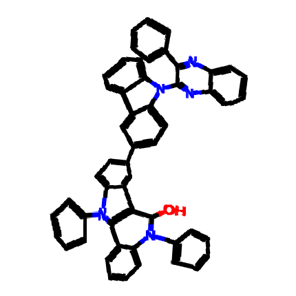 OC1c2c(n(-c3ccccc3)c3ccc(-c4ccc5c(c4)c4ccccc4n5-c4nc5ccccc5nc4-c4ccccc4)cc23)-c2ccccc2N1c1ccccc1